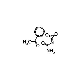 CC(=O)c1ccccc1.NC(=O)N=S(=O)=O